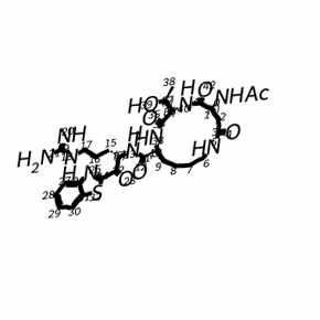 CC(=O)N[C@H]1CC(=O)NCCCC[C@@H](C(=O)N[C@@H](CCCNC(=N)N)C(=O)c2nc3ccccc3s2)NC(=O)[C@H]([C@H](C)O)NC1=O